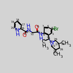 CC(c1cc(Br)ccc1NC(=O)CNC(=O)C1C=CC=CN1)N1C[C@H](C)C[C@H](C)C1